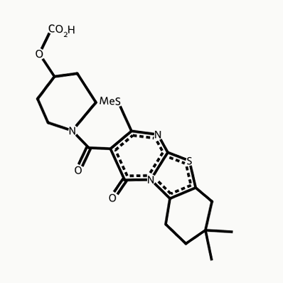 CSc1nc2sc3c(n2c(=O)c1C(=O)N1CCC(OC(=O)O)CC1)CCC(C)(C)C3